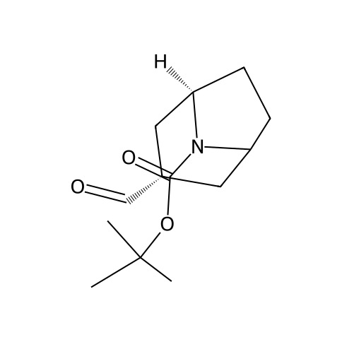 CC(C)(C)OC(=O)N1C2CC[C@@H]1C[C@@H](C=O)C2